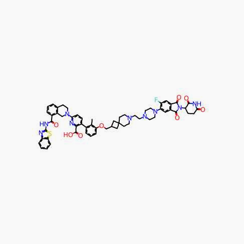 Cc1c(OCC2CC3(CCN(CCN4CCN(c5cc6c(cc5F)C(=O)N(C5CCC(=O)NC5=O)C6=O)CC4)CC3)C2)cccc1-c1ccc(N2CCc3cccc(C(=O)Nc4nc5ccccc5s4)c3C2)nc1C(=O)O